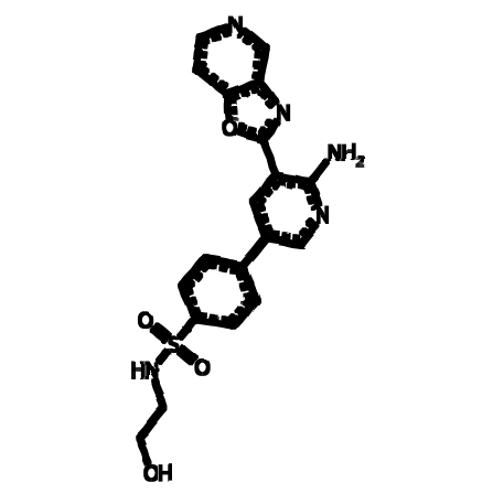 Nc1ncc(-c2ccc(S(=O)(=O)NCCO)cc2)cc1-c1nc2cnccc2o1